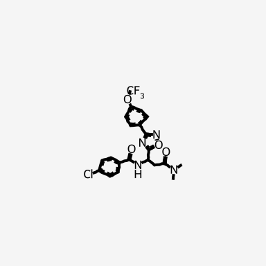 CN(C)C(=O)CC(NC(=O)c1ccc(Cl)cc1)c1nc(-c2ccc(OC(F)(F)F)cc2)no1